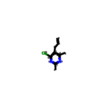 C=CCc1c(C)nc(C)nc1Cl